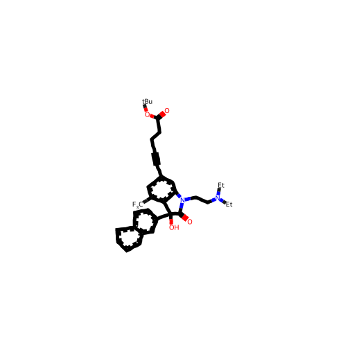 CCN(CC)CCN1C(=O)C(O)(c2ccc3ccccc3c2)c2c1cc(C#CCCC(=O)OC(C)(C)C)cc2C(F)(F)F